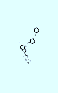 COc1cc(OCc2cccc(OCc3ccccc3)c2)c2cc(-c3cn4nc(C)sc4n3)oc2c1